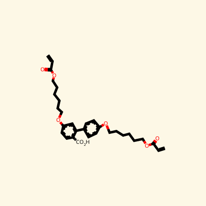 C=CC(=O)OCCCCCCOc1ccc(-c2cc(OCCCCCCOC(=O)C=C)ccc2C(=O)O)cc1